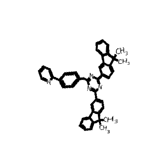 CC1(C)c2ccccc2-c2cc(-c3nc(-c4ccc(-c5ccccn5)cc4)nc(-c4ccc5c(c4)-c4ccccc4C5(C)C)n3)ccc21